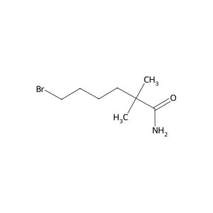 CC(C)(CCCCBr)C(N)=O